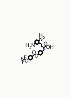 Nc1ccc(N)c(CC/C(=C\c2ccc(OC(=O)c3ccc(OC(F)(F)F)cc3)cc2)C(=O)O)c1